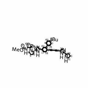 COC(=O)N[C@H](C(=O)N1CCC[C@H]1c1ncc(-c2ccc(C#CC#Cc3cnc(C4CCCN4)[nH]3)c(-c3ccc(C(C)(C)C)cc3)c2)[nH]1)C(C)C